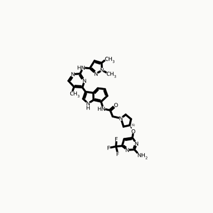 Cc1cnc(Nc2cc(C)n(C)n2)nc1-c1c[nH]c2c(NC(=O)CN3CC[C@H](Oc4cc(C(F)(F)F)nc(N)n4)C3)cccc12